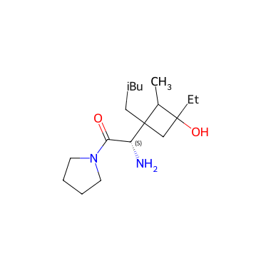 CCC(C)CC1([C@H](N)C(=O)N2CCCC2)CC(O)(CC)C1C